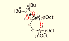 CCCCCCCCC1(CCCCCCCC)C[CH2][Sn]([O]CC(C)CC)([O]CC(C)CC)[Sn]([CH2]CCCCCCC)([CH2]CCCCCCC)[O]1